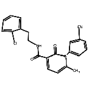 Cc1ccc(C(=O)NCCc2ccccc2Cl)c(=O)n1-c1cccc(C#N)c1